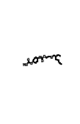 CCCCC(CC)COCCOC(=O)OC1CCC(OC(=O)O)CC1